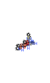 NC(=O)[C@H](Cc1cc2ccccc2s1)NC(=O)[C@H](Cc1cnc[nH]1)NC(=O)CP(=O)(O)C(Cc1ccccc1)NS(=O)(=O)c1cccc2cccnc12